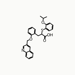 CC(C)Oc1ccccc1SC(Cc1ccccc1OCc1cnc2ccccc2c1)C(=O)O